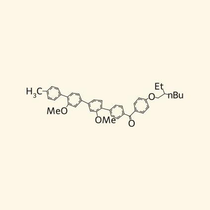 CCCCC(CC)COc1ccc(C(=O)c2ccc(-c3ccc(-c4ccc(-c5ccc(C)cc5)c(OC)c4)cc3OC)cc2)cc1